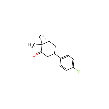 CC1(C)CCC(c2ccc(F)cc2)CC1=O